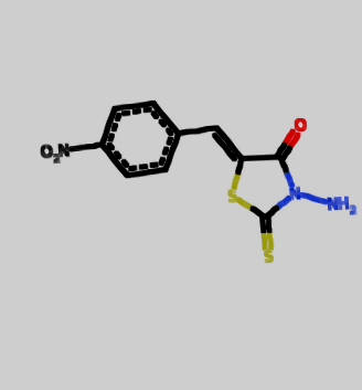 NN1C(=O)C(=Cc2ccc([N+](=O)[O-])cc2)SC1=S